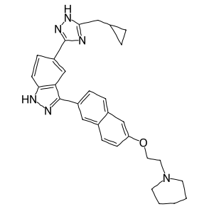 c1cc2cc(-c3n[nH]c4ccc(-c5n[nH]c(CC6CC6)n5)cc34)ccc2cc1OCCN1CCCCC1